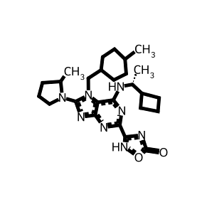 CC1CCC(Cn2c(N3CCCC3C)nc3nc(-c4nc(=O)o[nH]4)nc(N[C@H](C)C4CCC4)c32)CC1